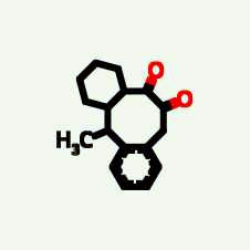 CC1c2ccccc2CC(=O)C(=O)C2CCCCC21